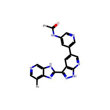 CC(=O)c1cncc2[nH]c(-c3n[nH]c4ncc(-c5cncc(NC(=O)C(C)C)c5)cc34)nc12